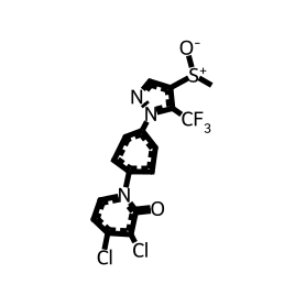 C[S+]([O-])c1cnn(-c2ccc(-n3ccc(Cl)c(Cl)c3=O)cc2)c1C(F)(F)F